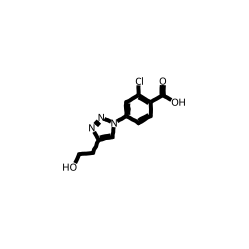 O=C(O)c1ccc(-n2cc(CCO)nn2)cc1Cl